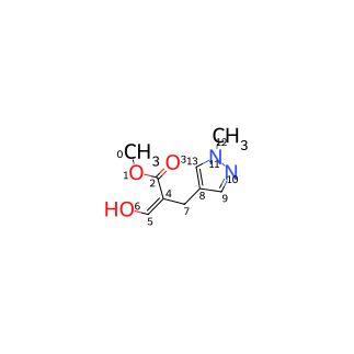 COC(=O)C(=CO)Cc1cnn(C)c1